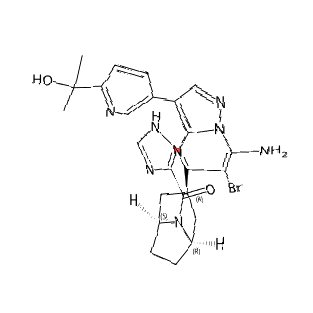 CC(C)(O)c1ccc(-c2cnn3c(N)c(Br)c([C@H]4C[C@H]5CC[C@@H](C4)N5C(=O)c4nc[nH]n4)nc23)cn1